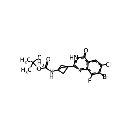 CC(C)(C)OC(=O)NC12CC(c3nc4c(F)c(Br)c(Cl)cc4c(=O)[nH]3)(C1)C2